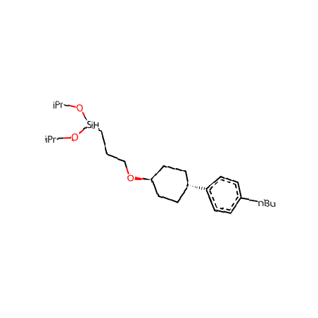 CCCCc1ccc([C@H]2CC[C@H](OCCC[SiH](OC(C)C)OC(C)C)CC2)cc1